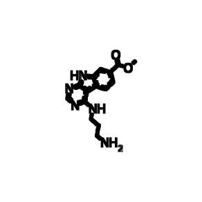 COC(=O)c1ccc2c(c1)[nH]c1ncnc(NCCCN)c12